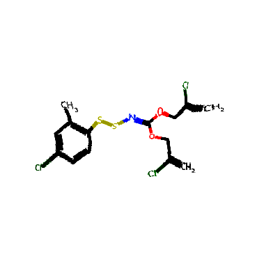 C=C(Cl)COC(=NSSc1ccc(Cl)cc1C)OCC(=C)Cl